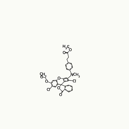 COCOc1cc2c(cc1Cl)C1(OC(=O)c3ccccc31)c1cc(Cl)c(N(C)c3ccc(CCC(=O)OC)cc3)cc1O2